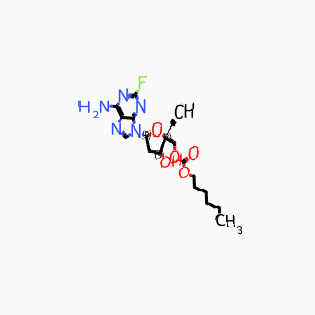 C#C[C@]1(COC(=O)OCCCCCC)O[C@@H](n2cnc3c(N)nc(F)nc32)C[C@@H]1O